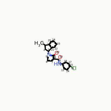 CC1CC(n2cccc(C(=O)Nc3ccc(Cl)cc3)c2=O)c2ccccc21